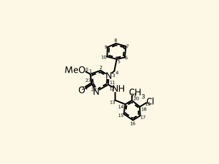 COc1cn(Cc2ccccc2)c(NCc2cccc(Cl)c2C)nc1=O